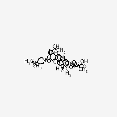 C=C(C)[C@@H]1CC[C@]2(CC(=O)N3CCC(N(C)C)CC3)CC[C@]3(C)[C@H](CC[C@@H]4[C@@]5(C)CC[C@H](OC(=O)CC(C)(C)C(=O)O)C(C)(C)[C@@H]5CC[C@]43C)[C@@H]12